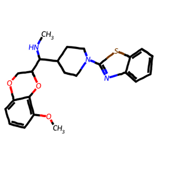 CNC(C1CCN(c2nc3ccccc3s2)CC1)C1COc2cccc(OC)c2O1